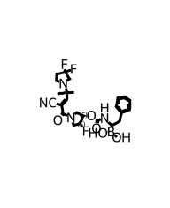 CC(C)(C=C(C#N)C(=O)N1C[C@H](OC(=O)NC(Cc2ccccc2)B(O)O)[C@@H](F)C1)N1CCC(F)(F)C1